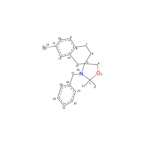 CC1(C)OCC2(CCc3ccc(Br)cc3C2)N1Cc1ccccc1